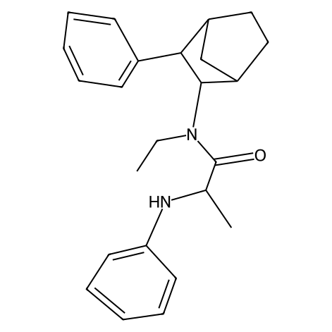 CCN(C(=O)C(C)Nc1ccccc1)C1C2CCC(C2)C1c1ccccc1